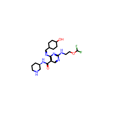 O=C(N[C@@H]1CCCNC1)c1cnc(NCCOC(F)F)nc1/N=C\C1CCC(O)CC1